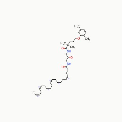 CC/C=C\C/C=C\C/C=C\C/C=C\C/C=C\C/C=C\CCC(=O)NCC(=O)CNC(=O)C(C)(C)CCCOc1cc(C)ccc1C